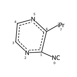 [C-]#[N+]c1nccnc1C(C)C